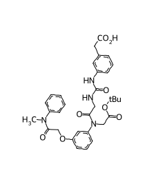 CN(C(=O)COc1cccc(N(CC(=O)OC(C)(C)C)C(=O)CNC(=O)Nc2cccc(CC(=O)O)c2)c1)c1ccccc1